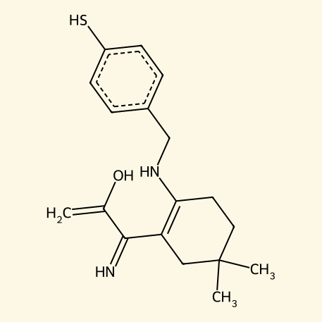 C=C(O)C(=N)C1=C(NCc2ccc(S)cc2)CCC(C)(C)C1